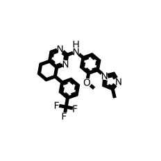 COc1cc(Nc2ncc3c(n2)C(c2cccc(C(F)(F)F)c2)CCC3)ccc1-n1cnc(C)c1